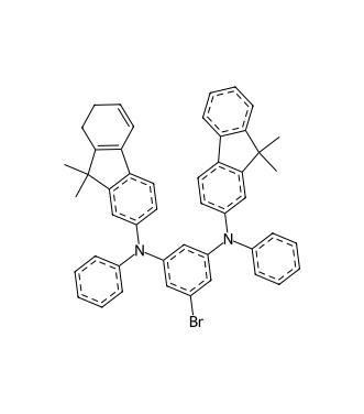 CC1(C)C2=C(C=CCC2)c2ccc(N(c3ccccc3)c3cc(Br)cc(N(c4ccccc4)c4ccc5c(c4)C(C)(C)c4ccccc4-5)c3)cc21